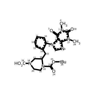 Cn1c(=O)c2c(ncn2-c2ccccc2CC2CN(C(=O)O)CCN2C(=O)OC(C)(C)C)n(C)c1=O